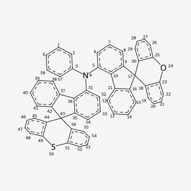 c1ccc(N(c2cccc3c2-c2ccccc2C32c3ccccc3Oc3ccccc32)c2cccc3c2-c2ccccc2C32c3ccccc3Sc3ccccc32)cc1